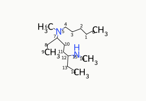 CCCCCN(C)C(CC)CCC(CC)NC